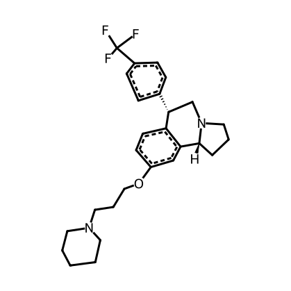 FC(F)(F)c1ccc([C@@H]2CN3CCC[C@@H]3c3cc(OCCCN4CCCCC4)ccc32)cc1